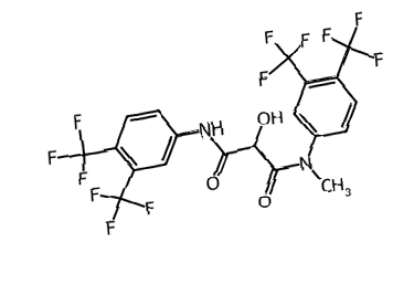 CN(C(=O)C(O)C(=O)Nc1ccc(C(F)(F)F)c(C(F)(F)F)c1)c1ccc(C(F)(F)F)c(C(F)(F)F)c1